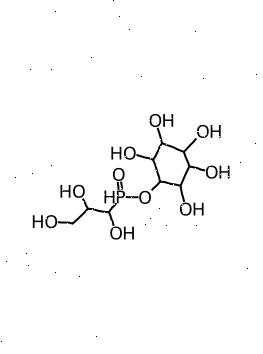 O=[PH](OC1C(O)C(O)C(O)C(O)C1O)C(O)C(O)CO